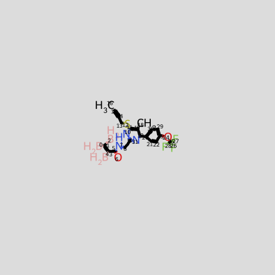 BC(B)=C(B)C(=O)NCc1nc(SCC#CC)c(C)c(-c2ccc(OC(F)(F)F)cc2)n1